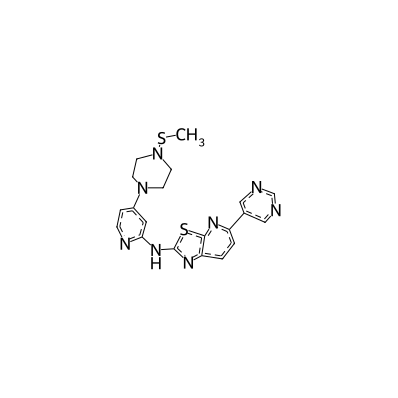 CSN1CCN(c2ccnc(Nc3nc4ccc(-c5cncnc5)nc4s3)c2)CC1